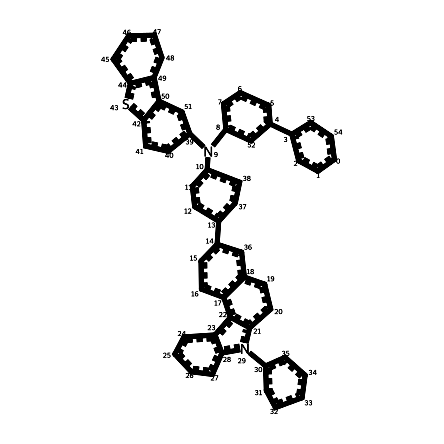 c1ccc(-c2cccc(N(c3ccc(-c4ccc5c(ccc6c5c5ccccc5n6-c5ccccc5)c4)cc3)c3ccc4sc5ccccc5c4c3)c2)cc1